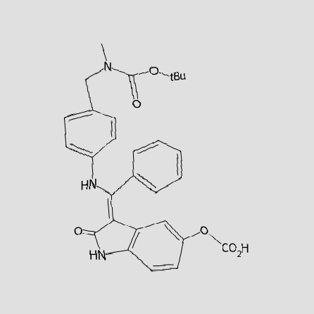 CN(Cc1ccc(N/C(=C2\C(=O)Nc3ccc(OC(=O)O)cc32)c2ccccc2)cc1)C(=O)OC(C)(C)C